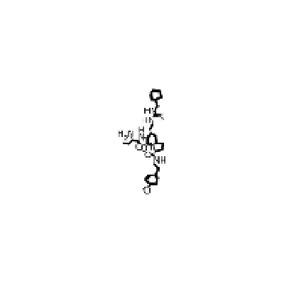 CC[C@H](N)C(=O)N[C@@H]1C(=O)N2C(CC[C@H]2C(=O)NCCc2ccc(OC)cc2)C[C@@H]1CCNC(=S)NCc1ccccc1